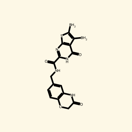 Bc1sc2nc(C(=O)NCc3ccc4c(c3)NC(=O)CO4)[nH]c(=O)c2c1B